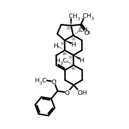 COC(OC1(O)CC[C@@]2(C)C(=CC[C@@H]3[C@@H]2CC[C@@]2(C)[C@H]3CC[C@]2(C)C(C)=O)C1)c1ccccc1